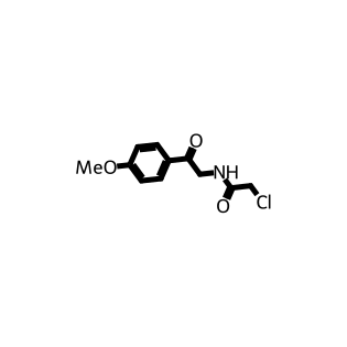 COc1ccc(C(=O)CNC(=O)CCl)cc1